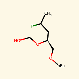 CCCCOC[C@H](CC(C)F)OCO